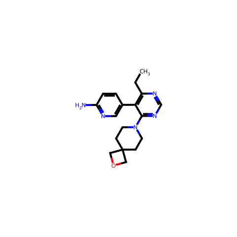 CCc1ncnc(N2CCC3(CC2)COC3)c1-c1ccc(N)nc1